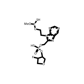 COP(S)OCCn1c(COP(=O)(S)OC2COCC2F)nc2cncnc21